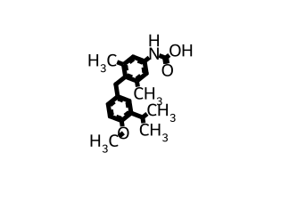 COc1ccc(Cc2c(C)cc(NC(=O)O)cc2C)cc1C(C)C